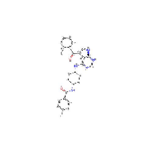 Cc1ccc(C(=O)N[C@H]2CC[C@@H](Nc3ncnc4[nH]cc(C(=O)c5ccccc5C)c34)CC2)cc1